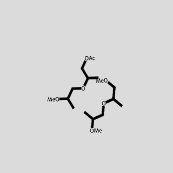 COC(C)COC(C)COC(C)=O.COCC(C)OCC(C)OC